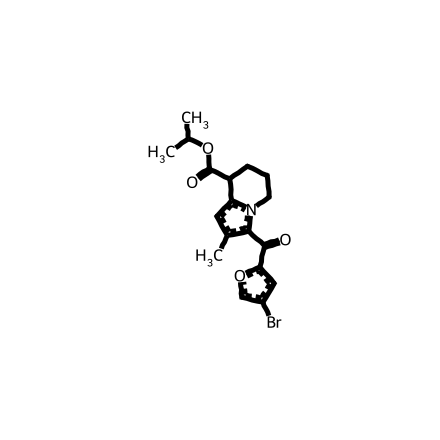 Cc1cc2n(c1C(=O)c1cc(Br)co1)CCCC2C(=O)OC(C)C